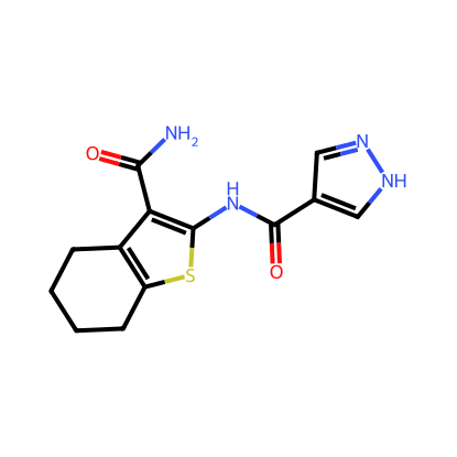 NC(=O)c1c(NC(=O)c2cn[nH]c2)sc2c1CCCC2